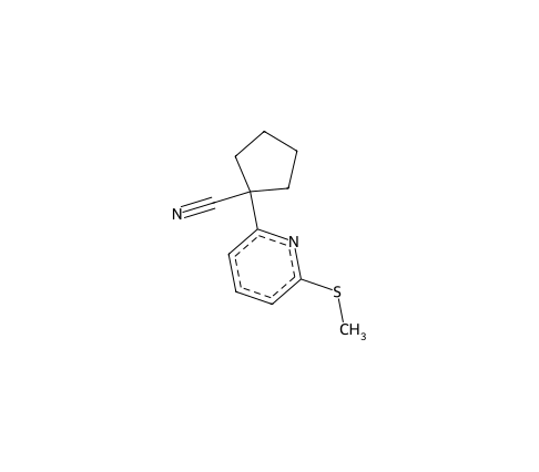 CSc1cccc(C2(C#N)CCCC2)n1